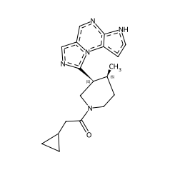 C[C@H]1CCN(C(=O)CC2CC2)C[C@H]1c1ncc2cnc3[nH]ccc3n12